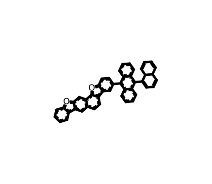 C1=CC2C=CC=C(c3c4ccccc4c(-c4ccc5oc6c7cc8oc9ccccc9c8cc7ccc6c5c4)c4ccccc34)C2C=C1